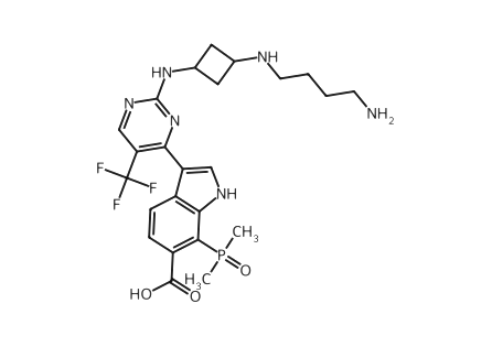 CP(C)(=O)c1c(C(=O)O)ccc2c(-c3nc(NC4CC(NCCCCN)C4)ncc3C(F)(F)F)c[nH]c12